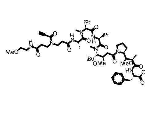 C#CC(=O)N(CCC(=O)NCCOC)CCC(=O)N[C@@H](C)C(=O)N(C)[C@H](C(=O)N[C@H](C(=O)N(C)[C@@H]([C@@H](C)CC)[C@@H](CC(=O)N1CCC[C@H]1[C@H](OC)[C@@H](C)C(=O)N[C@@H](Cc1ccccc1)C(=O)OC)OC)C(C)C)C(C)C